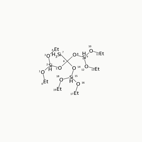 CCO[SiH](OCC)OC([SiH3])(O[SiH](OCC)OCC)O[SiH](OCC)OCC